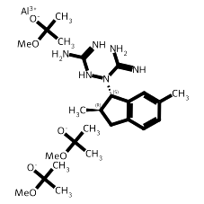 COC(C)(C)[O-].COC(C)(C)[O-].COC(C)(C)[O-].Cc1ccc2c(c1)[C@@H](N(NC(=N)N)C(=N)N)[C@H](C)C2.[Al+3]